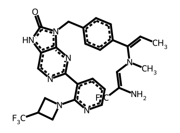 C/C=C(/c1ccc(Cn2c(=O)[nH]c3cnc(-c4cccnc4N4CC(C(F)(F)F)C4)nc32)cc1)N(C)/C=C(\N)C(F)(F)F